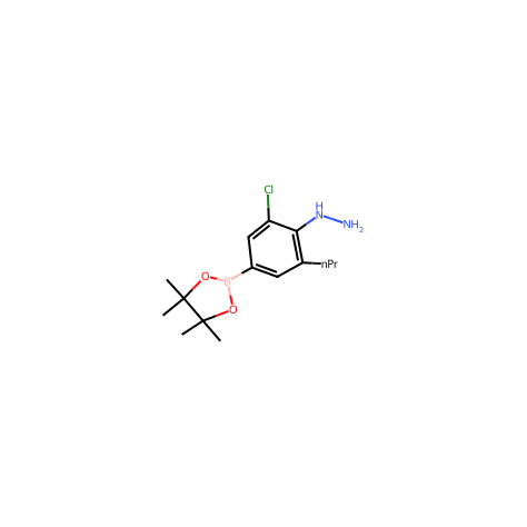 CCCc1cc(B2OC(C)(C)C(C)(C)O2)cc(Cl)c1NN